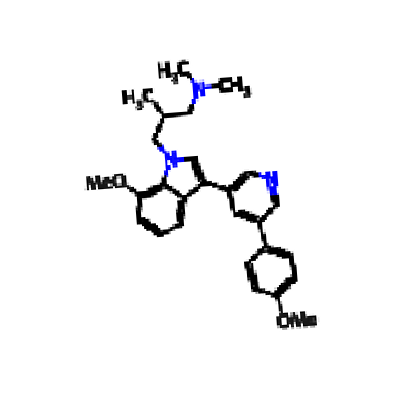 COc1ccc(-c2cncc(-c3cn(CC(C)CN(C)C)c4c(OC)cccc34)c2)cc1